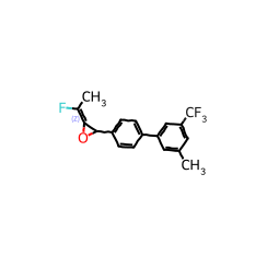 C/C(F)=C1/OC1c1ccc(-c2cc(C)cc(C(F)(F)F)c2)cc1